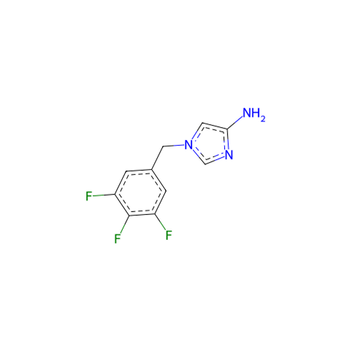 Nc1cn(Cc2cc(F)c(F)c(F)c2)cn1